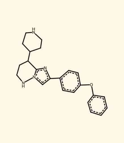 c1ccc(Oc2ccc(-c3cn4c(n3)C(C3CCNCC3)CCN4)cc2)cc1